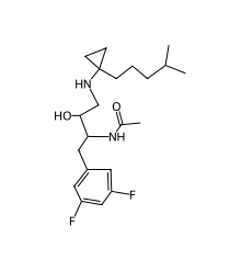 CC(=O)NC(Cc1cc(F)cc(F)c1)C(O)CNC1(CCCC(C)C)CC1